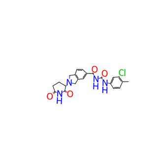 Cc1ccc(NC(=O)NC(=O)c2ccc3c(c2)CN(C2CCC(=O)NC2=O)C3)cc1Cl